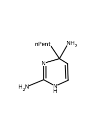 CCCCCC1(N)C=CNC(N)=N1